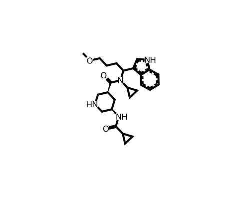 COCCCC(c1c[nH]c2ccccc12)N(C(=O)[C@@H]1CNC[C@H](NC(=O)C2CC2)C1)C1CC1